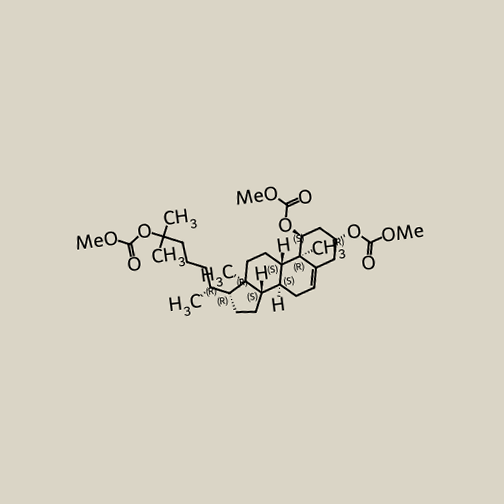 COC(=O)O[C@@H]1CC2=CC[C@H]3[C@@H]4CC[C@H]([C@H](C)CCCC(C)(C)OC(=O)OC)[C@@]4(C)CC[C@@H]3[C@@]2(C)[C@@H](OC(=O)OC)C1